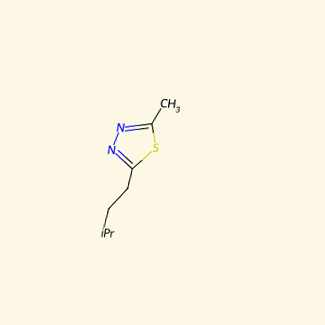 Cc1nnc(CCC(C)C)s1